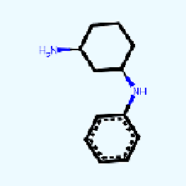 N[C@H]1CCC[C@@H](Nc2ccccc2)C1